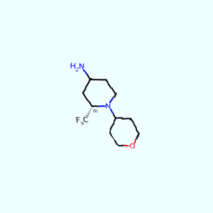 NC1CCN(C2CCOCC2)[C@H](C(F)(F)F)C1